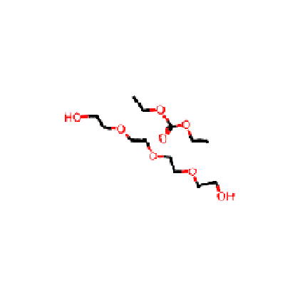 CCOC(=O)OCC.OCCOCCOCCOCCO